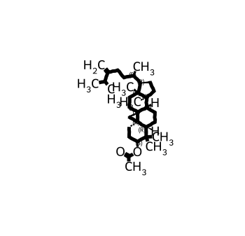 C=C(CC[C@@H](C)[C@H]1CC[C@@]2(C)[C@@H]3CC[C@H]4C(C)(C)[C@@H](OC(C)=O)CC[C@@]45C[C@@]35CC[C@]12C)C(C)C